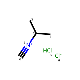 C#[N+]C(C)C.Cl.[Cl-]